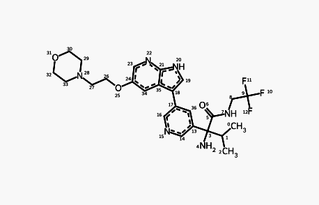 CC(C)C(N)(C(=O)NCC(F)(F)F)c1cncc(-c2c[nH]c3ncc(OCCN4CCOCC4)cc23)c1